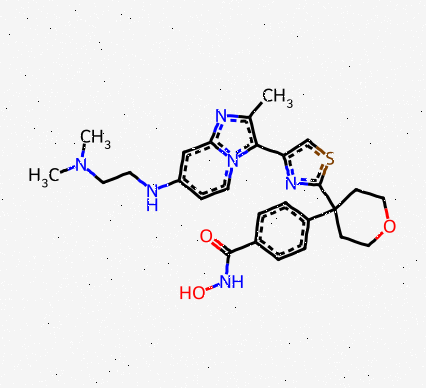 Cc1nc2cc(NCCN(C)C)ccn2c1-c1csc(C2(c3ccc(C(=O)NO)cc3)CCOCC2)n1